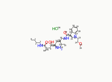 CCCCNC(=O)[C@H](C)C[C@H](O)[C@@H](N)C[C@@H](CNC(=O)c1cn(CCOC)c2ccccc12)C(C)C.Cl